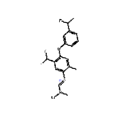 CCN(C)/C=N/c1cc(C(F)F)c(Oc2cccc(C(C)F)c2)cc1C